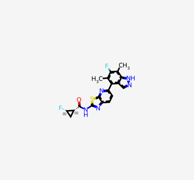 Cc1c(F)c(C)c2[nH]ncc2c1-c1ccc2nc(NC(=O)[C@@H]3C[C@@H]3F)sc2n1